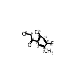 Cc1cc(C(=O)CCl)c(Cl)cc1F